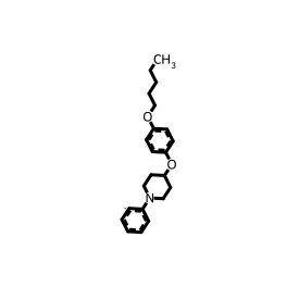 CCCCCOc1ccc(OC2CCN(c3[c]cccc3)CC2)cc1